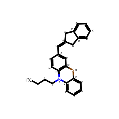 CCCCN1c2ccccc2Sc2cc(C=C3Cc4ccccc4C3)ccc21